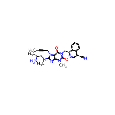 CC#CCn1c(N(C)CC(C)N)nc2c1c(=O)n(Cc1ncc(C#N)c3ccccc13)c(=O)n2C